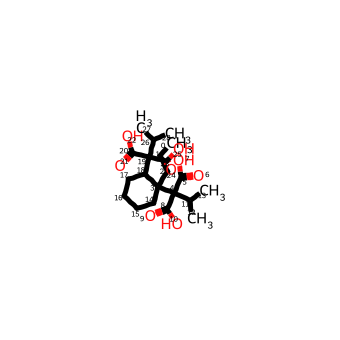 CCCC1(C(C(=O)O)(C(=O)O)C(C)C)CCCCC1C(C(=O)O)(C(=O)O)C(C)C